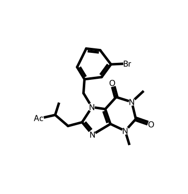 CC(=O)C(C)Cc1nc2c(c(=O)n(C)c(=O)n2C)n1Cc1cccc(Br)c1